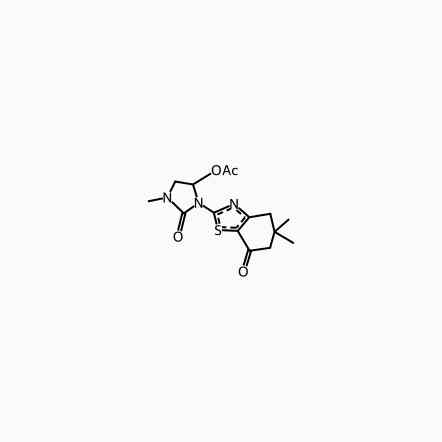 CC(=O)OC1CN(C)C(=O)N1c1nc2c(s1)C(=O)CC(C)(C)C2